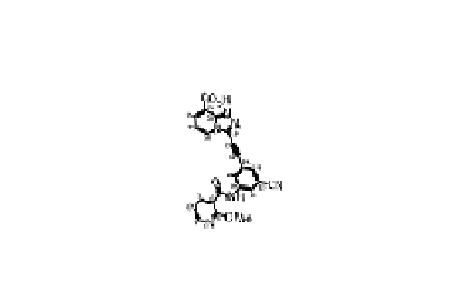 COc1ncncc1C(=O)Nc1cc(C#N)cc(C#Cc2nnc3c(C(=O)O)cccn23)c1